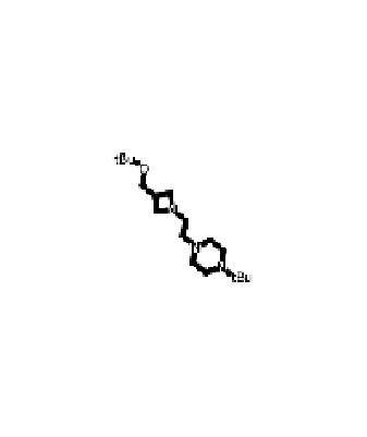 CC(C)(C)OCC1CN(CCN2CCN(C(C)(C)C)CC2)C1